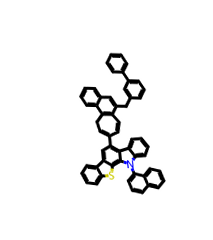 C1=Cc2c(Cc3cccc(-c4ccccc4)c3)cc3ccccc3c2CC=C1c1cc2c3ccccc3sc2c2c1c1ccccc1n2-c1cccc2ccccc12